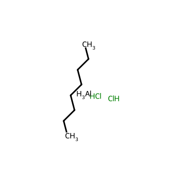 CCCCCCCC.Cl.Cl.[AlH3]